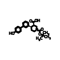 CC(C)(C)OC(=O)N1CC[C@H](c2cccc(-c3ccc(O)cc3)c2)[C@@H](C(=O)O)C1